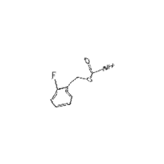 [NH]C(=O)OCc1ccccc1F